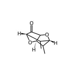 CC1[C@H]2OC3C(=O)[C@@H](O[C@@H]31)C2C